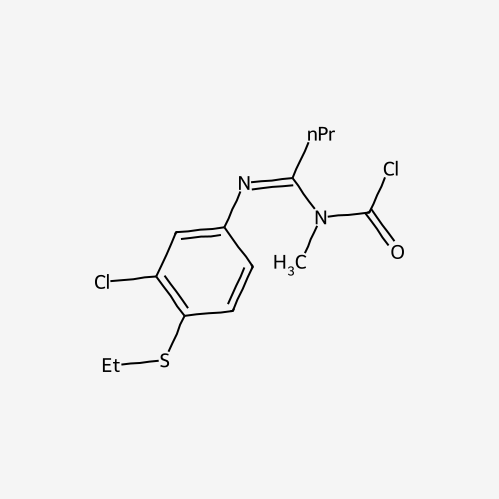 CCCC(=Nc1ccc(SCC)c(Cl)c1)N(C)C(=O)Cl